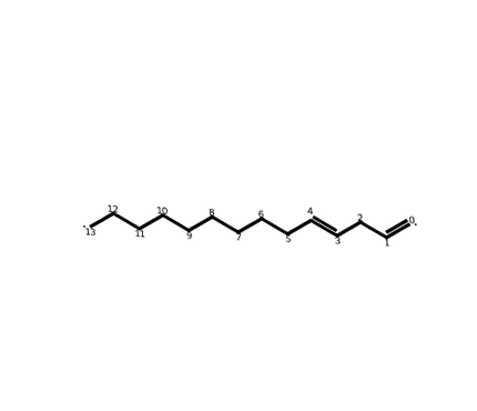 [CH]=CCC=CCCCCCCCC[CH2]